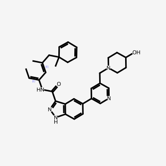 C/C=C(\C=C(/C)CC1(C)C=CC=CC1)NC(=O)c1n[nH]c2ccc(-c3cncc(CN4CCC(O)CC4)c3)cc12